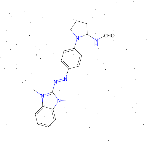 Cn1c(N=Nc2ccc(N3CCCC3NC=O)cc2)[n+](C)c2ccccc21